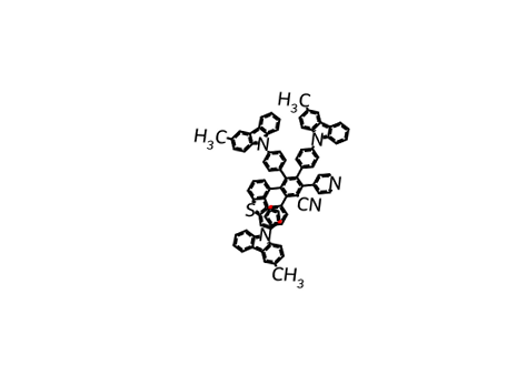 Cc1ccc2c(c1)c1ccccc1n2-c1ccc(-c2c(C#N)c(-c3ccncc3)c(-c3ccc(-n4c5ccccc5c5cc(C)ccc54)cc3)c(-c3ccc(-n4c5ccccc5c5cc(C)ccc54)cc3)c2-c2cccc3sc4ccccc4c23)cc1